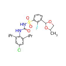 CC1COC(c2cccc(S(=O)(=O)NC(=O)Nc3c(C(C)C)cc(Cl)cc3C(C)C)c2F)O1